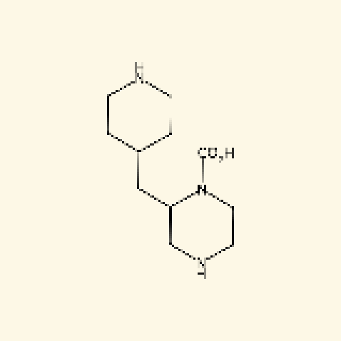 O=C(O)N1CCNCC1CC1CCNCC1